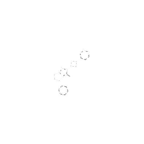 O=c1n(C2CC(c3ccnnc3)C2)nc2n1[C@H](c1ccccc1)CC2